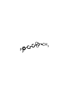 C/C=C/[C@H]1CO[C@H]([C@H]2CC[C@H]([C@H]3CC[C@H](c4ccc(F)c(F)c4)CC3)CC2)OC1